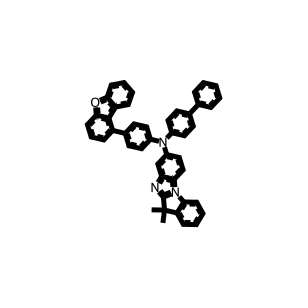 CC1(C)c2ccccc2-n2c1nc1cc(N(c3ccc(-c4ccccc4)cc3)c3ccc(-c4cccc5oc6ccccc6c45)cc3)ccc12